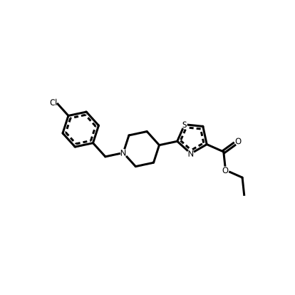 CCOC(=O)c1csc(C2CCN(Cc3ccc(Cl)cc3)CC2)n1